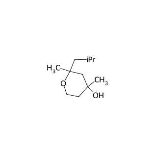 CC(C)CC1(C)CC(C)(O)CCO1